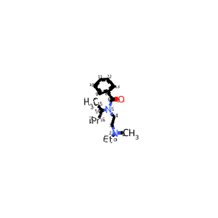 CCN(C)CCN(C(=O)c1ccccc1)C(C)C(C)C